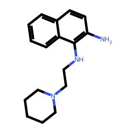 Nc1ccc2ccccc2c1NCCN1CCCCC1